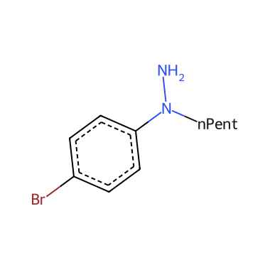 CCCCCN(N)c1ccc(Br)cc1